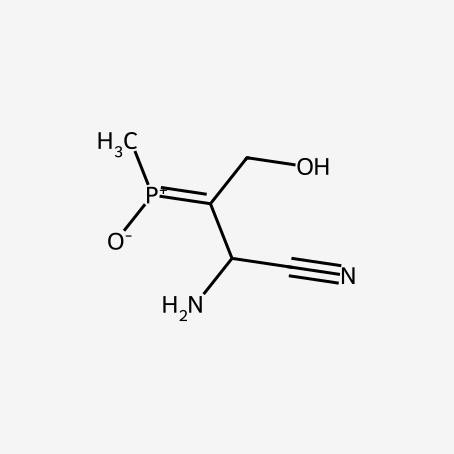 C/[P+]([O-])=C(\CO)C(N)C#N